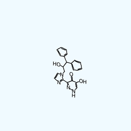 O=c1c(O)c[nH]nc1-c1nccn1CC(O)C(c1ccccc1)c1ccccc1